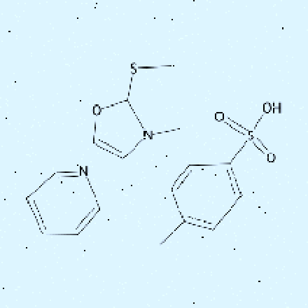 CSC1OC=CN1C.Cc1ccc(S(=O)(=O)O)cc1.c1ccncc1